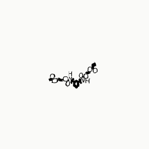 C=CC(=O)OCCOC(=O)NC(C)(C)c1cccc(C(C)(C)NC(=O)OCCOC(C)=O)c1